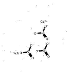 O=[Si]([O-])[O-].O=[Si]([O-])[O-].O=[Si]([O-])[O-].[Gd+3].[Sc+3]